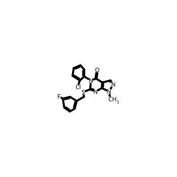 Cn1ncc2c(=O)n(-c3ccccc3Cl)c(SCc3cccc(F)c3)nc21